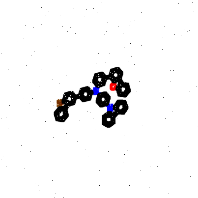 c1cc(-c2cccc3c2oc2ccccc23)cc(N(c2ccc(-c3ccc4sc5ccccc5c4c3)cc2)c2ccc(-n3c4ccccc4c4ccccc43)cc2)c1